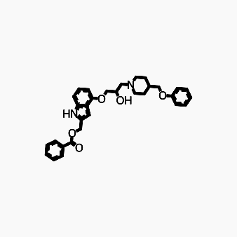 O=C(OCc1cc2c(OCC(O)CN3CCC(COc4ccccc4)CC3)cccc2[nH]1)c1ccccc1